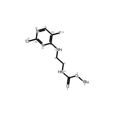 CC(C)(C)OC(=O)NCCNc1nc(Cl)ncc1F